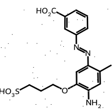 Cc1cc(N)c(OCCCS(=O)(=O)O)cc1N=Nc1cccc(C(=O)O)c1